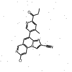 CCC(=O)c1cc(C)c(-c2cc3cnc(Cl)cc3n3cc(C#N)nc23)cn1